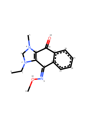 CCN1CN(C)C2=C1/C(=N\OC)c1ccccc1C2=O